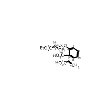 C=CC(=O)O.CCOC(=O)NO.O=C(O)c1ccccc1C(=O)O